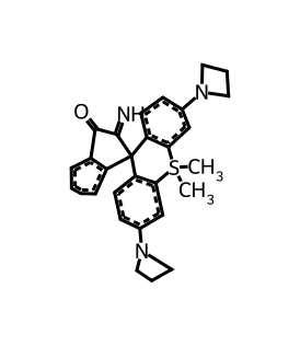 CS1(C)c2cc(N3CCC3)ccc2C2(C(=N)C(=O)c3ccccc32)c2ccc(N3CCC3)cc21